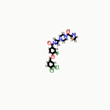 O=C(c1ccc(OCc2ccc(Cl)c(Cl)c2)c(F)c1)N1CC(N2CCN(C(=O)c3nccs3)CC2)C1